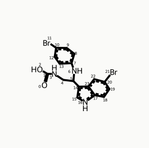 O=C(O)NCC(Nc1ccc(Br)cc1)c1c[nH]c2ccc(Br)cc12